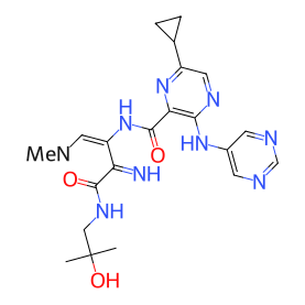 CN/C=C(/NC(=O)c1nc(C2CC2)cnc1Nc1cncnc1)C(=N)C(=O)NCC(C)(C)O